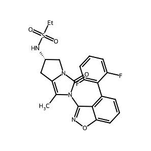 CCS(=O)(=O)N[C@H]1Cc2c(C)n(-c3noc4cccc(-c5c(F)cccc5F)c34)c(=O)n2C1